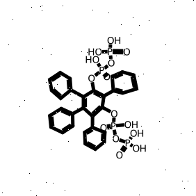 O=P(O)(O)OP(=O)(O)Oc1c(-c2ccccc2)c(OP(=O)(O)OP(=O)(O)O)c(-c2ccccc2)c(-c2ccccc2)c1-c1ccccc1